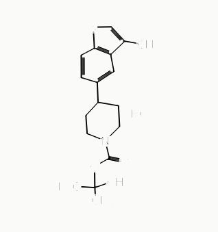 Cc1csc2ccc(C3CCN(C(=O)OC(C)(C)C)CC3)cc12.Cl